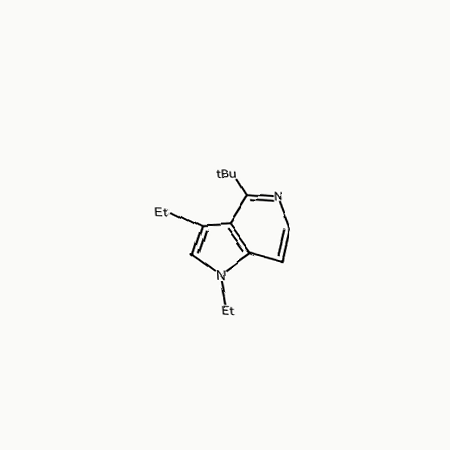 CCc1cn(CC)c2ccnc(C(C)(C)C)c12